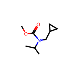 COC(=O)N(CC1CC1)C(C)C